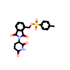 Cc1ccc(S(=O)(=O)OCc2cccc3c2C(=O)N(C2CCC(=O)NC2=O)C3=O)cc1